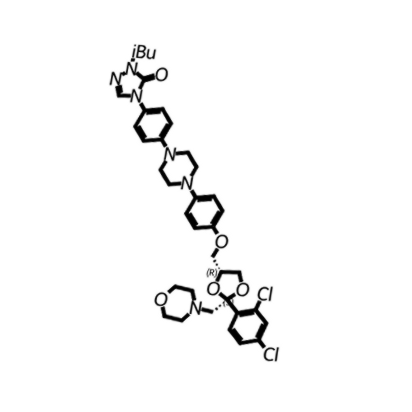 CCC(C)n1ncn(-c2ccc(N3CCN(c4ccc(OC[C@@H]5CO[C@@](CN6CCOCC6)(c6ccc(Cl)cc6Cl)O5)cc4)CC3)cc2)c1=O